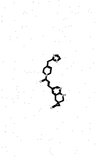 O=C(C=Cc1cnc2c(c1)CC1(CN2)CC1=O)N1CC=C(Cc2nccs2)CC1